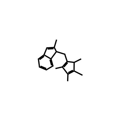 CC1=Cc2ccccc2C1CC1=C(C)C(C)=C(C)C1C